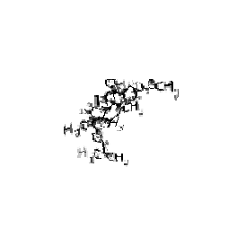 COCO[C@H]1CC[C@]2(C)C3=C(OC(=O)[C@H]2C1)[C@@H]1CC[C@H]([C@H](C)COCC(C)C)[C@@]1(C)CC3